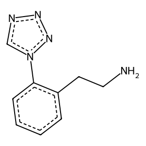 NCCc1ccccc1-n1cnnn1